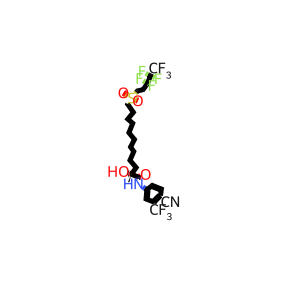 C[C@](O)(CCCCCCCCCCS(=O)(=O)CCC(F)(F)C(F)(F)C(F)(F)F)C(=O)Nc1ccc(C#N)c(C(F)(F)F)c1